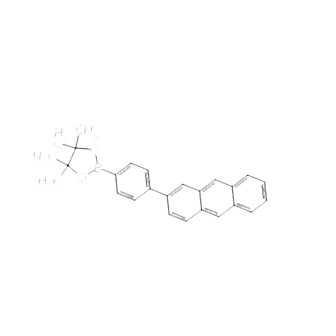 CC1(C)OB(c2ccc(-c3ccc4cc5ccccc5cc4c3)cc2)OC1(C)C